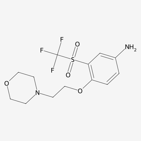 Nc1ccc(OCCN2CCOCC2)c(S(=O)(=O)C(F)(F)F)c1